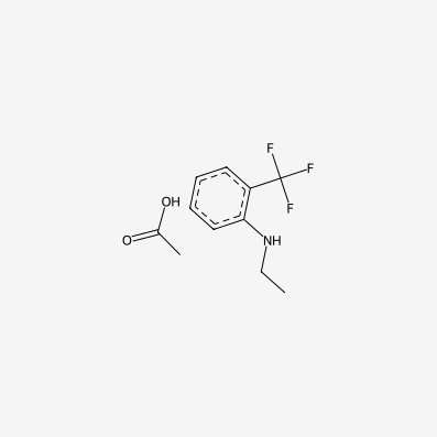 CC(=O)O.CCNc1ccccc1C(F)(F)F